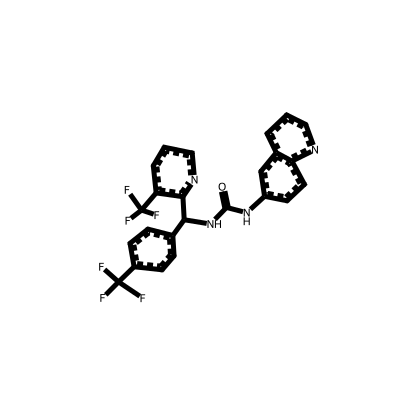 O=C(Nc1ccc2ncccc2c1)NC(c1ccc(C(F)(F)F)cc1)c1ncccc1C(F)(F)F